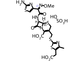 CO/N=C(\C(=O)N[C@@H]1C(=O)N2C(C(=O)O)=C(CSc3nc(C)c(CC(=O)O)s3)CS[C@H]12)c1csc(N)n1.O=S(=O)(O)O